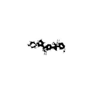 COc1ccc2c(c1)C1(CC1c1ccc3c(-c4ccnc(N5CCN(C)CC5)c4)n[nH]c3c1)C(=O)N2